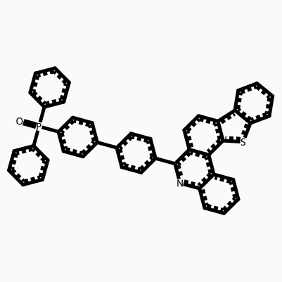 O=P(c1ccccc1)(c1ccccc1)c1ccc(-c2ccc(-c3nc4ccccc4c4c3ccc3c5ccccc5sc34)cc2)cc1